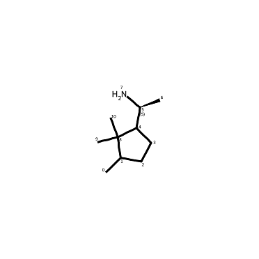 CC1CCC([C@H](C)N)C1(C)C